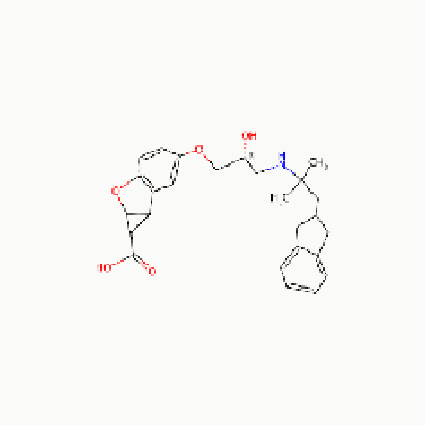 CC(C)(CC1Cc2ccccc2C1)NC[C@@H](O)COc1ccc2c(c1)C1C(O2)C1C(=O)O